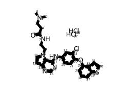 CN(C)CCC(=O)NCCn1ccc2ncnc(Nc3ccc(Oc4cccc5sccc45)c(Cl)c3)c21.Cl.Cl